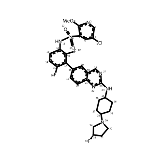 COc1ncc(Cl)cc1S(=O)(=O)Nc1ccc(F)c(-c2ccc3nc(NC4CCC(N5CC[C@@H](F)C5)CC4)ncc3c2)c1F